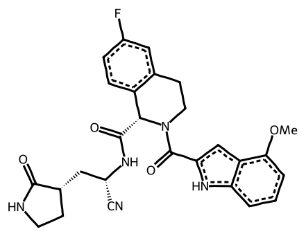 COc1cccc2[nH]c(C(=O)N3CCc4cc(F)ccc4[C@H]3C(=O)N[C@H](C#N)C[C@@H]3CCNC3=O)cc12